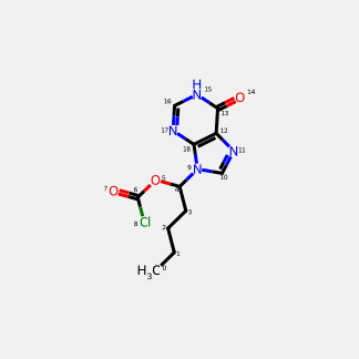 CCCCC(OC(=O)Cl)n1cnc2c(=O)[nH]cnc21